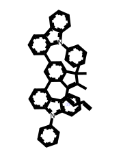 C=C/C=C\C1=C(C)C(C)(C)c2cc(-c3cccc4c5ccccc5n(-c5ccccc5)c34)cc(-c3cccc4c3c3ccccc3n4-c3ccccc3)c21